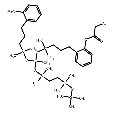 COc1ccccc1CCC[Si](C)(C)O[Si](C)(O[Si](C)(C)CCCc1ccccc1OC(=O)CC(C)=O)O[Si](C)(C)CC[Si](C)(C)O[Si](C)(C)C